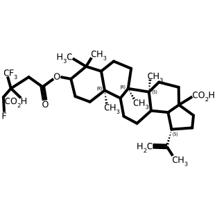 C=C(C)[C@H]1CCC2(C(=O)O)CC[C@@]3(C)C(CCC4[C@@]5(C)CCC(OC(=O)CC(CF)(C(=O)O)C(F)(F)F)C(C)(C)C5CC[C@]43C)C12